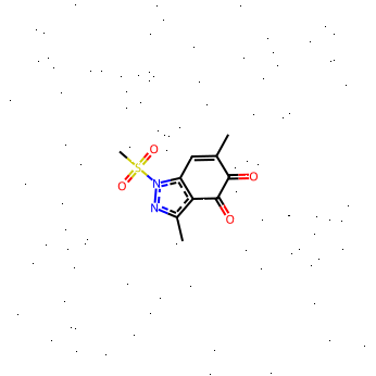 CC1=Cc2c(c(C)nn2S(C)(=O)=O)C(=O)C1=O